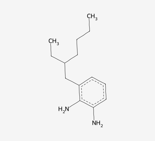 CCCCC(CC)Cc1cccc(N)c1N